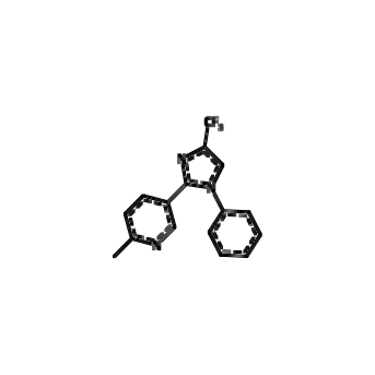 Cc1ccc(-c2nc(C(F)(F)F)cn2-c2ccccc2)cn1